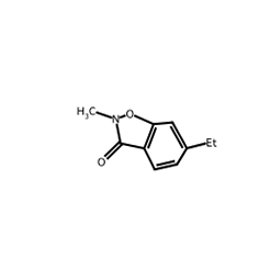 CCc1ccc2c(=O)n(C)oc2c1